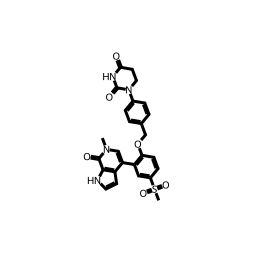 Cn1cc(-c2cc(S(C)(=O)=O)ccc2OCc2ccc(N3CCC(=O)NC3=O)cc2)c2cc[nH]c2c1=O